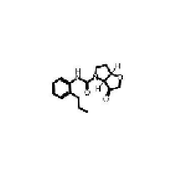 CCCc1ccccc1NC(=O)N1CC[C@H]2OCC(=O)[C@H]21